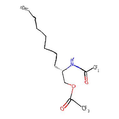 CCCCCCCCCCCCCCCC[C@@H](COC(=O)C(F)(F)F)NC(=O)C(F)(F)F